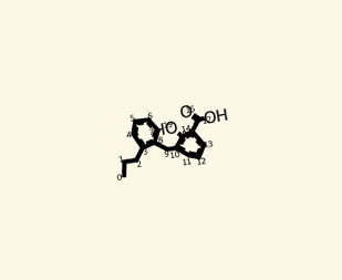 CCCc1ccccc1Cc1cccc(C(=O)O)c1O